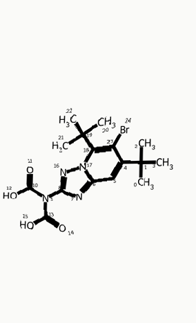 CC(C)(C)c1cc2nc(N(C(=O)O)C(=O)O)nn2c(C(C)(C)C)c1Br